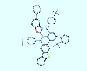 CC(C)(C)c1ccc(N2B3c4oc5ccc(-c6ccccc6)cc5c4N(c4ccc(C(C)(C)C)cc4)c4cc5c(c(c43)-c3cc4sc6ccccc6c4cc32)C(C)(C)c2ccccc2-5)cc1